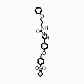 O=C(NCCCOc1ccccc1)n1cnc(-c2ccc(OCc3ccc(S(=O)(=O)N4CCC4)cc3)cc2)c1